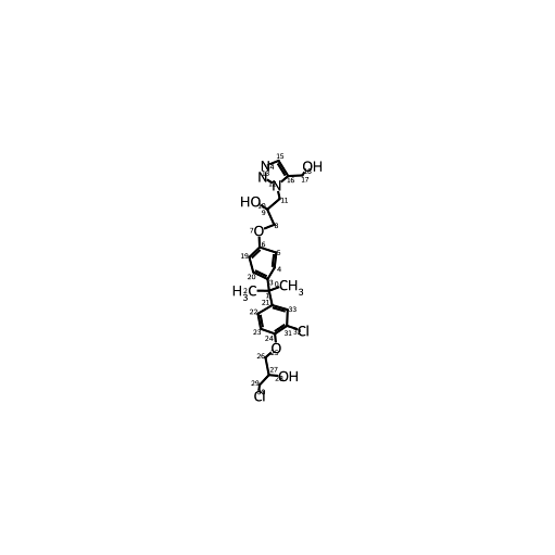 CC(C)(c1ccc(OCC(O)Cn2nncc2CO)cc1)c1ccc(OCC(O)CCl)c(Cl)c1